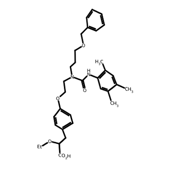 CCOC(Cc1ccc(OCCN(CCCOCc2ccccc2)C(=O)Nc2cc(C)c(C)cc2C)cc1)C(=O)O